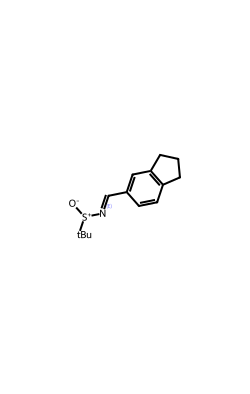 CC(C)(C)[S+]([O-])/N=C/c1ccc2c(c1)CCC2